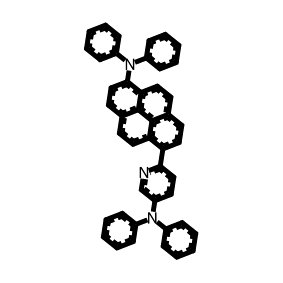 c1ccc(N(c2ccccc2)c2ccc(-c3ccc4ccc5c(N(c6ccccc6)c6ccccc6)ccc6ccc3c4c65)nc2)cc1